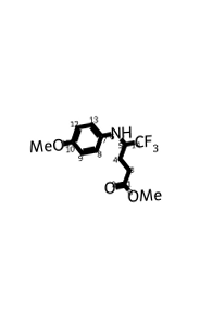 COC(=O)CCC(Nc1ccc(OC)cc1)C(F)(F)F